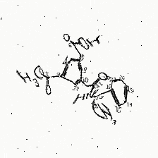 CC(=O)c1cc(C(=O)O)cc(C(=O)N[C@H](C)c2ccccc2)c1